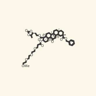 COCCOCCOCCOCCC(=O)O[C@H]1CC[C@@]2(C)[C@@H](CC[C@]3(C)[C@@H]2C(=O)C=C2[C@@H]4C[C@@](C)(C(=O)OCc5ccccc5)CC[C@]4(C)CC[C@]23C)[C@]1(C)C(=O)OCC[C@@H]1OC(=O)OC1C